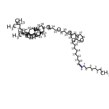 CCCCCCCC/C=C\CCCCCCCCOCC(CN1CCOCC1)OCCCOCCCO[C@H]1CC[C@@]2(C)C(=CC[C@H]3[C@@H]4CC[C@H]([C@H](C)CCCC(C)C)[C@@]4(C)CC[C@@H]32)C1